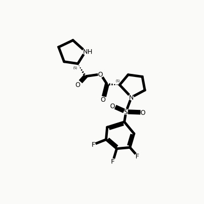 O=C(OC(=O)[C@@H]1CCCN1S(=O)(=O)c1cc(F)c(F)c(F)c1)[C@@H]1CCCN1